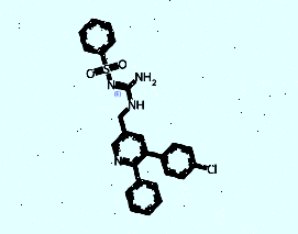 N/C(=N\S(=O)(=O)c1ccccc1)NCc1cnc(-c2ccccc2)c(-c2ccc(Cl)cc2)c1